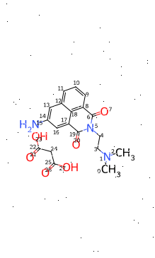 CN(C)CCN1C(=O)c2cccc3cc(N)cc(c23)C1=O.O=C(O)CC(=O)O